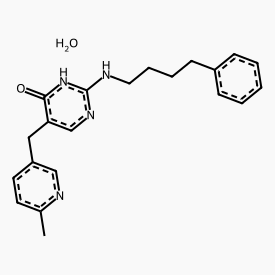 Cc1ccc(Cc2cnc(NCCCCc3ccccc3)[nH]c2=O)cn1.O